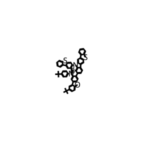 CC(C)(C)c1ccc(N2B3c4cc5c(cc4-n4c6cc7c(cc6c6ccc(c3c64)-c3cc4oc6ccc(C(C)(C)C)cc6c4cc32)sc2ccccc27)sc2ccccc25)cc1